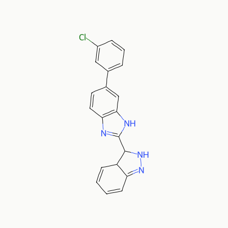 Clc1cccc(-c2ccc3nc(C4NN=C5C=CC=CC54)[nH]c3c2)c1